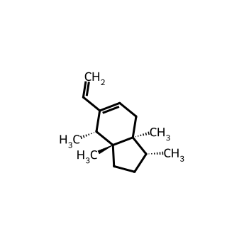 C=CC1=CC[C@@]2(C)[C@H](C)CC[C@]2(C)[C@@H]1C